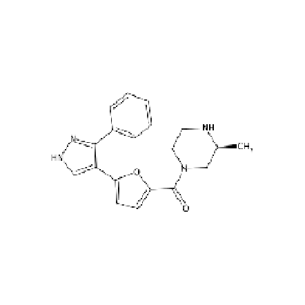 C[C@H]1CN(C(=O)c2ccc(-c3c[nH]nc3-c3ccccc3)o2)CCN1